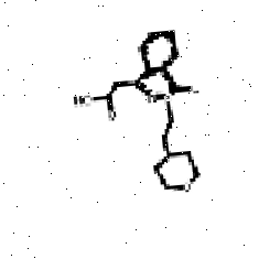 O=C(O)Cc1nn(CCC2CCOCC2)c(=O)c2ccccc12